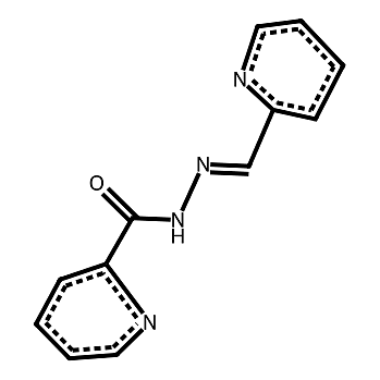 O=C(N/N=C/c1ccccn1)c1ccccn1